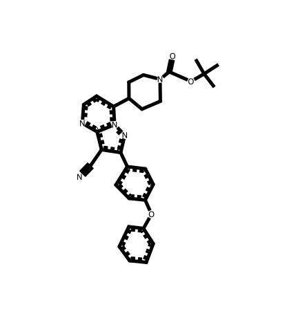 CC(C)(C)OC(=O)N1CCC(c2ccnc3c(C#N)c(-c4ccc(Oc5ccccc5)cc4)nn23)CC1